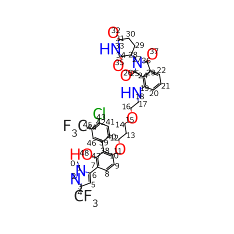 Cn1nc(C(F)(F)F)cc1-c1ccc(OCCCOCCNc2cccc3c2C(=O)N(C2CCC(=O)NC2=O)C3=O)c(-c2ccc(Cl)c(C(F)(F)F)c2)c1O